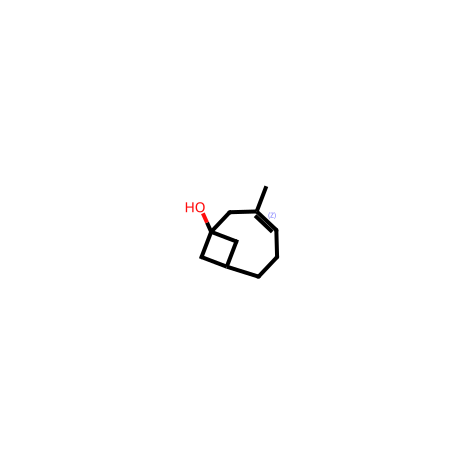 C/C1=C/CCC2CC(O)(C1)C2